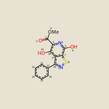 COC(=O)c1nc(O)c2snc(-c3ccccc3)c2c1O